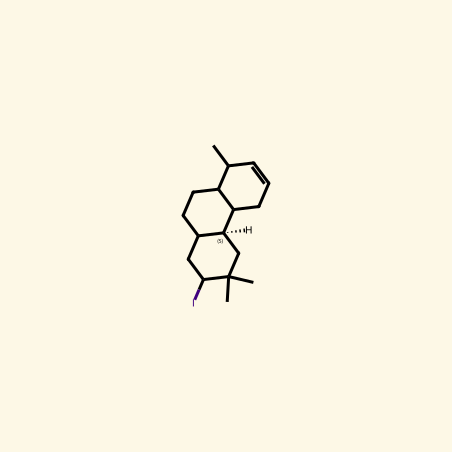 CC1C=CCC2C1CCC1CC(I)C(C)(C)C[C@@H]12